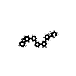 c1cc(-c2cccc(-c3ccc4sc5ccccc5c4c3)c2)cc(-c2cccc(-c3ccc4oc5cccnc5c4c3)c2)c1